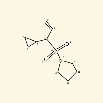 C=CC(C1CC1)S(=O)(=O)N1CCCC1